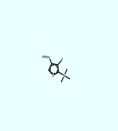 CCCCCCc1csc([Si](C)(C)C)c1F